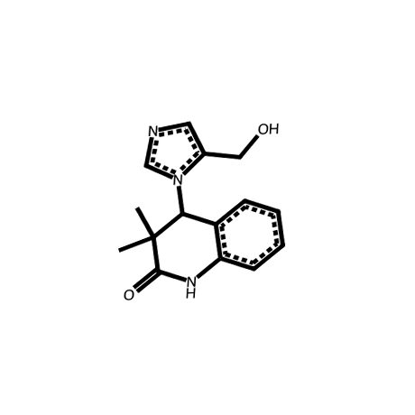 CC1(C)C(=O)Nc2ccccc2C1n1cncc1CO